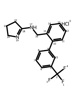 Cl.FC(F)(F)c1cccc(-c2ccccc2CNC2=NCCC2)c1